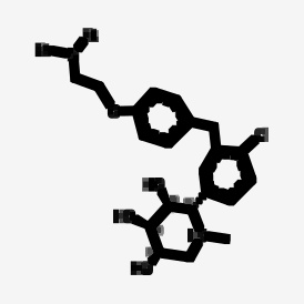 CCN(CC)CCOc1ccc(Cc2cc([C@H]3[C@H](O)[C@H](O)[C@H](O)C[SH]3C)ccc2Cl)cc1